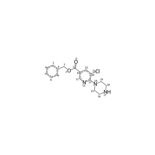 O=C(OCc1ccccc1)c1cnc(N2CCNCC2)c(Cl)c1